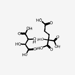 O=C(O)C(O)C(O)C(=O)O.O=C(O)CCC(O)(C(=O)O)C(=O)O